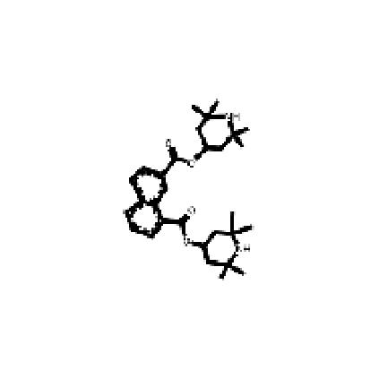 CC1(C)CC(OC(=O)c2ccc3cccc(C(=O)OC4CC(C)(C)NC(C)(C)C4)c3c2)CC(C)(C)N1